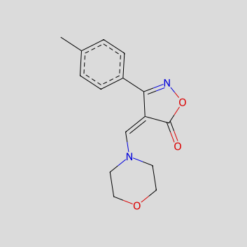 Cc1ccc(C2=NOC(=O)/C2=C\N2CCOCC2)cc1